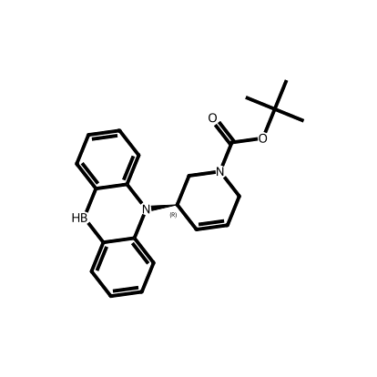 CC(C)(C)OC(=O)N1CC=C[C@@H](N2c3ccccc3Bc3ccccc32)C1